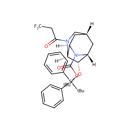 CC(C)(C)OC(=O)N1[C@@H]2C[C@@H]3C[C@@H]1[C@@H]([C@H]2O[Si](c1ccccc1)(c1ccccc1)C(C)(C)C)N(C(=O)CC(F)(F)F)C3